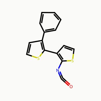 O=C=Nc1sccc1-c1sccc1-c1ccccc1